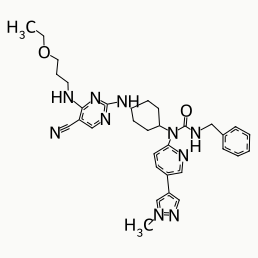 CCOCCCNc1nc(NC2CCC(N(C(=O)NCc3ccccc3)c3ccc(-c4cnn(C)c4)cn3)CC2)ncc1C#N